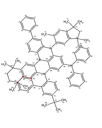 Cc1cc2c(cc1N1c3cc(-c4ccccc4)ccc3B3c4cc5c(cc4N(c4ccc(C(C)(C)C)cc4-c4ccccc4)c4cc(N(c6ccccc6)c6ccccc6)cc1c43)C(C)(C)CCC5(C)C)C(C)(C)CC2(C)C